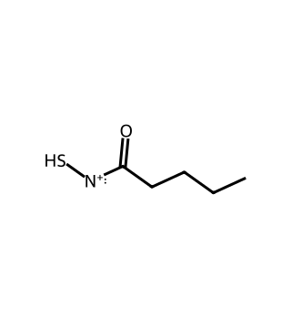 CCCCC(=O)[N+]S